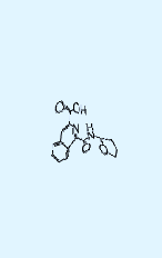 O=C(O)c1cc2ccccc2c(C(=O)NC2CCCO2)n1